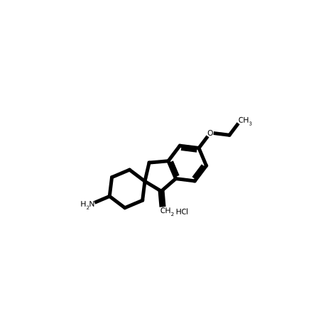 C=C1c2ccc(OCC)cc2CC12CCC(N)CC2.Cl